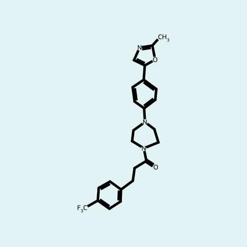 Cc1ncc(-c2ccc(N3CCN(C(=O)CCc4ccc(C(F)(F)F)cc4)CC3)cc2)o1